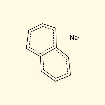 [Na].c1ccc2ccccc2c1